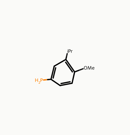 COc1ccc(P)cc1C(C)C